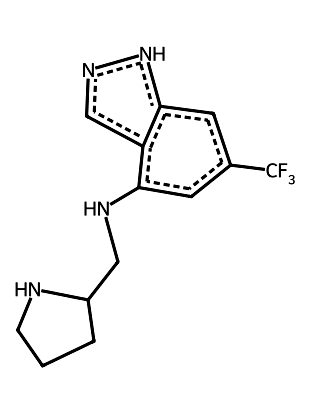 FC(F)(F)c1cc(NCC2CCCN2)c2cn[nH]c2c1